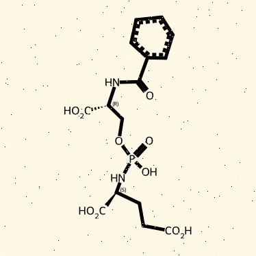 O=C(O)CC[C@H](NP(=O)(O)OC[C@@H](NC(=O)c1ccccc1)C(=O)O)C(=O)O